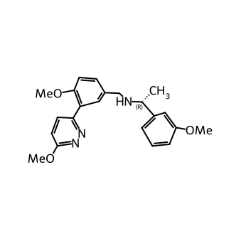 COc1cccc([C@@H](C)NCc2ccc(OC)c(-c3ccc(OC)nn3)c2)c1